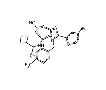 CC(C)c1ccnc(-c2nc3nc(C#N)nc(NC(C)C4CCC4)c3n2Cc2ccc(C(F)(F)F)cc2)c1